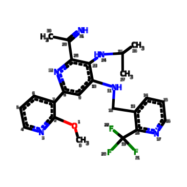 COc1ncccc1-c1cc(NCc2cccnc2C(F)(F)F)c(NC(C)C)c(C(C)=N)n1